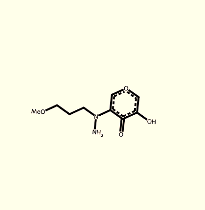 COCCCN(N)c1cocc(O)c1=O